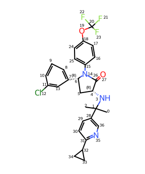 CC(C)(N[C@@H]1C[C@H](c2cccc(Cl)c2)N(c2ccc(OC(F)(F)F)cc2)C1=O)c1ccc(C2CC2)nc1